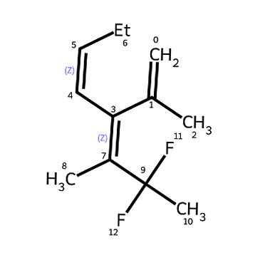 C=C(C)C(/C=C\CC)=C(/C)C(C)(F)F